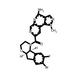 Cn1ncc2c(N)nc3cnc(C(=O)N4CCO[C@@H]5Cc6cc(Br)c(F)cc6[C@@H]54)cc3c21